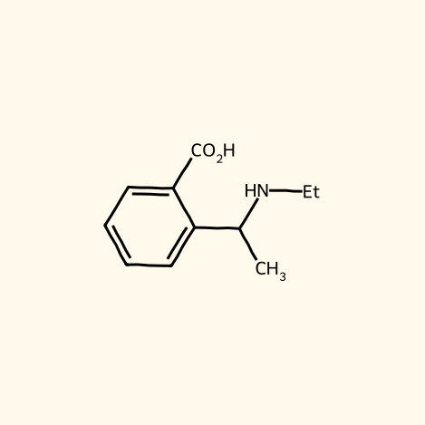 CCNC(C)c1ccccc1C(=O)O